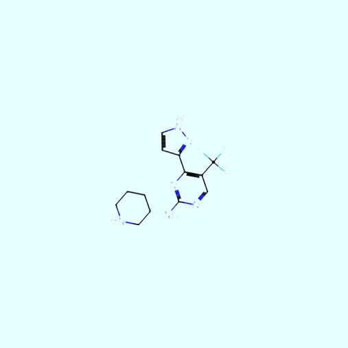 FC(F)(F)c1cnc(N[C@H]2CCCNC2)nc1-c1cc[nH]n1